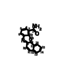 NC(=O)c1cccc2nc3ccc4ccccc4c3nc12